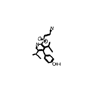 CC(C)c1cnc(S(=O)(=O)C=CC#N)c(C(C)C)c1-c1ccc(O)cc1